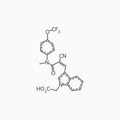 CN(C(=O)C(C#N)=Cc1cn(CC(=O)O)c2ccccc12)c1ccc(OC(F)(F)F)cc1